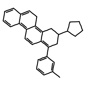 Cc1cccc(C2=c3ccc4c(c3CC(C3CCCC3)C2)CC=c2ccccc2=4)c1